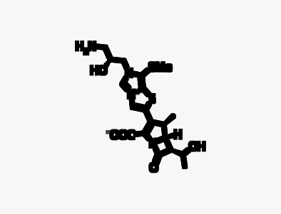 CSc1c2sc(C3=C(C(=O)[O-])N4C(=O)[C@H](C(C)O)[C@H]4[C@@H]3C)c[n+]2cn1C[C@H](O)CN